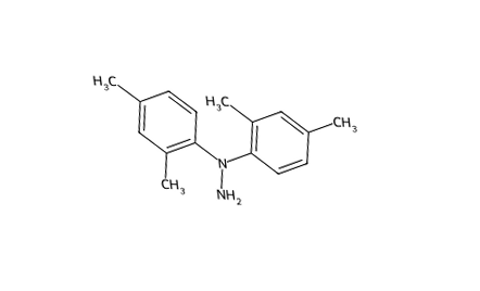 Cc1ccc(N(N)c2ccc(C)cc2C)c(C)c1